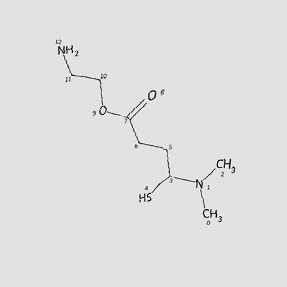 CN(C)C(S)CCC(=O)OCCN